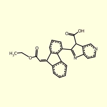 CCOC(=O)C=C1c2ccccc2-c2c1cccc2C1=Nc2ccncc2C1C(=O)O